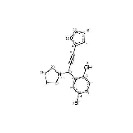 Oc1ccc(Br)cc1C(C#Cc1ccsc1)N1CCCC1